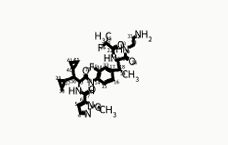 CCn1nccc1C(=O)N[C@H](C(=O)Nc1ccc([C@H](C)[C@@H](NC(=O)[C@@H](C)F)C(=O)NCCN)cc1F)C(C1CC1)C1CC1